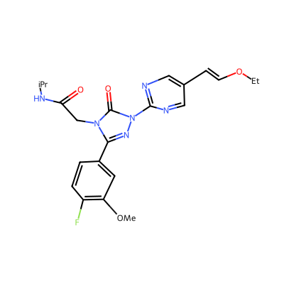 CCOC=Cc1cnc(-n2nc(-c3ccc(F)c(OC)c3)n(CC(=O)NC(C)C)c2=O)nc1